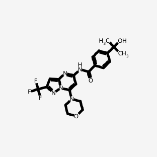 CC(C)(O)c1ccc(C(=O)Nc2cc(N3CCOCC3)n3nc(C(F)(F)F)cc3n2)cc1